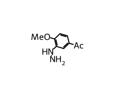 COc1ccc(C(C)=O)cc1NN